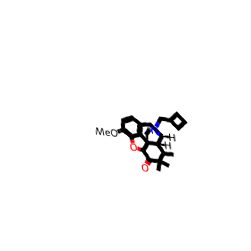 COc1ccc2c3c1OC1C(=O)C(C)(C)C(C)[C@H]4[C@@H](C2)N(CC2CCC2)CC[C@]314